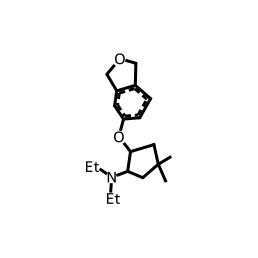 CCN(CC)C1CC(C)(C)CC1Oc1ccc2c(c1)COC2